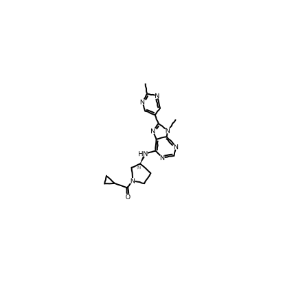 Cc1ncc(-c2nc3c(N[C@H]4CCN(C(=O)C5CC5)C4)ncnc3n2C)cn1